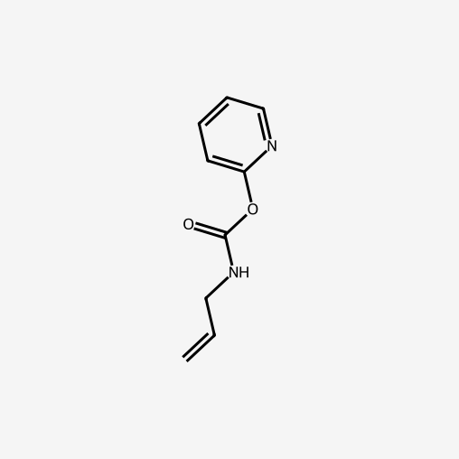 C=CCNC(=O)Oc1ccccn1